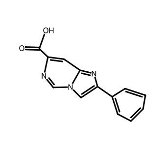 O=C(O)c1cc2nc(-c3ccccc3)cn2cn1